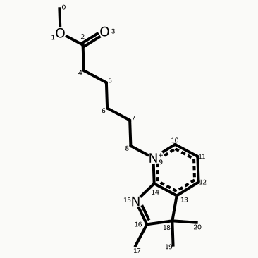 COC(=O)CCCCC[n+]1cccc2c1N=C(C)C2(C)C